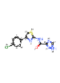 O=C(Nc1nc(-c2ccc(Cl)cc2)cs1)c1nc[nH]n1